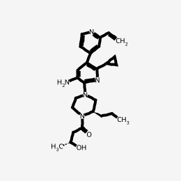 C=Cc1cc(-c2cc(N)c(N3CCN(C(=O)C[C@@H](C)O)[C@H](CCC)C3)nc2C2CC2)ccn1